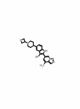 Cc1cc(-c2[nH]c3ccc(C4CCN(C5COC5)CC4)cc3c2C(C)C)cn2nncc12